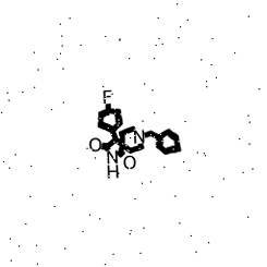 O=C1NC(=O)C2(CCN(Cc3ccccc3)CC2)C1c1ccc(F)cc1